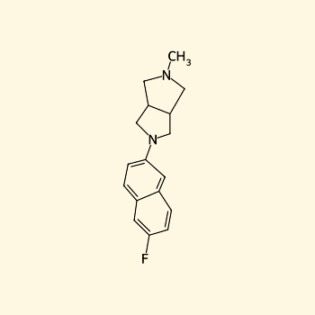 CN1CC2CN(c3ccc4cc(F)ccc4c3)CC2C1